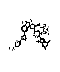 CC(C)C[C@@H](C(=O)N1C[C@]2(C[C@H]1C#N)C(=O)Nc1ccc(-c3cn(C4=CCC(C)C=N4)nn3)cc12)N(C)C(=O)c1cc2c(F)cc(F)cc2[nH]1